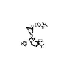 O=C(O)CO[C@@H]1CCN(c2cc(-n3ccnc3)c3ccc(Cl)c(Cl)c3n2)C1